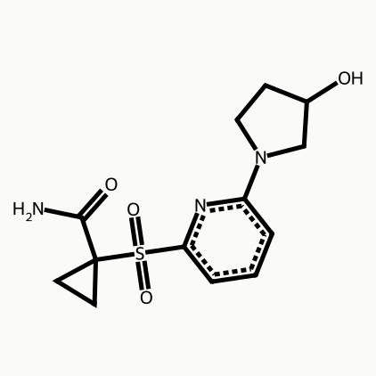 NC(=O)C1(S(=O)(=O)c2cccc(N3CCC(O)C3)n2)CC1